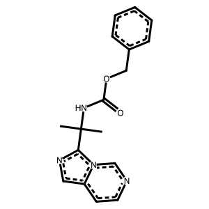 CC(C)(NC(=O)OCc1ccccc1)c1ncc2ccncn12